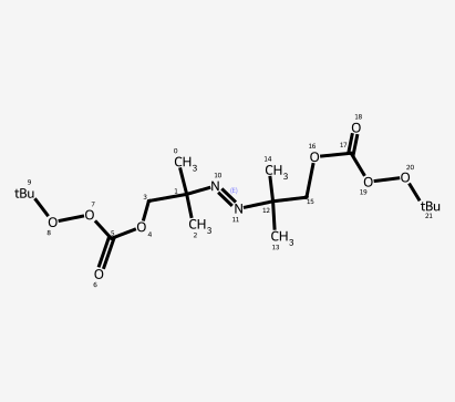 CC(C)(COC(=O)OOC(C)(C)C)/N=N/C(C)(C)COC(=O)OOC(C)(C)C